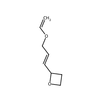 C=COCC=CC1CCO1